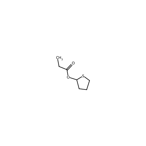 CCC(=O)OC1CCCS1